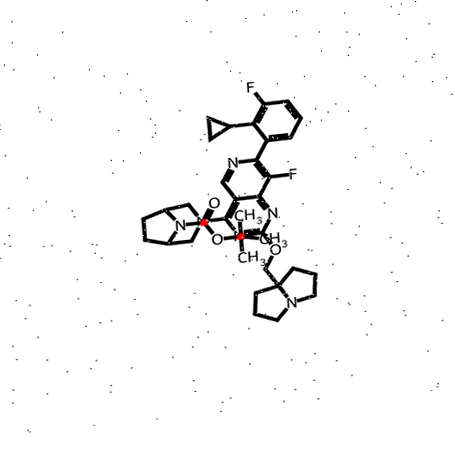 CC(C)(C)OC(=O)N1C2CCC1CN(c1nc(OCC34CCCN3CCC4)nc3c(F)c(-c4cccc(F)c4C4CC4)ncc13)C2